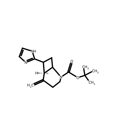 C=C1CCN(C(=O)OC(C)(C)C)C2CC(c3ncc[nH]3)[C@H]12